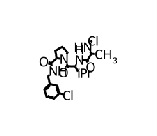 CC(NCl)C(=O)NC(C(=O)N1CCCC1C(=O)NCc1cccc(Cl)c1)C(C)C